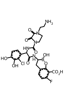 NCCN1CCN(C(=O)NC(C(=O)NC2Cc3ccc(F)c(C(=O)O)c3OB2O)c2ccc(O)c(O)c2Cl)C(=O)C1=O